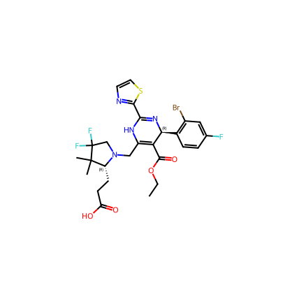 CCOC(=O)C1=C(CN2CC(F)(F)C(C)(C)[C@H]2CCC(=O)O)NC(c2nccs2)=N[C@H]1c1ccc(F)cc1Br